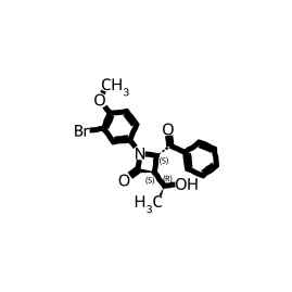 COc1ccc(N2C(=O)[C@H]([C@@H](C)O)[C@H]2C(=O)c2ccccc2)cc1Br